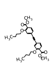 CCCCOc1cc(C#Cc2ccc(C(=O)OC)c(OCCCC)c2)ccc1C(=O)OC